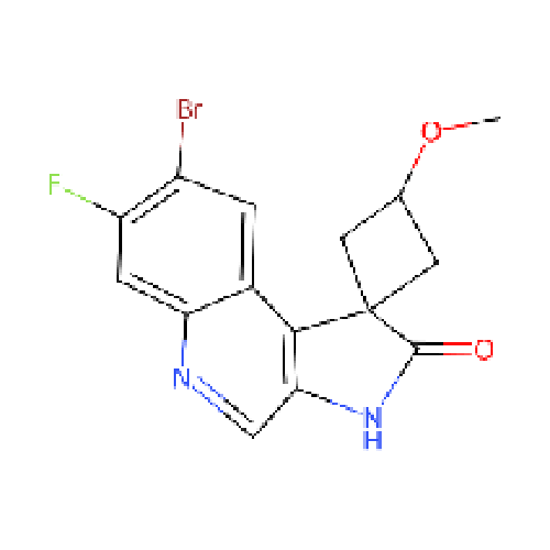 COC1CC2(C1)C(=O)Nc1cnc3cc(F)c(Br)cc3c12